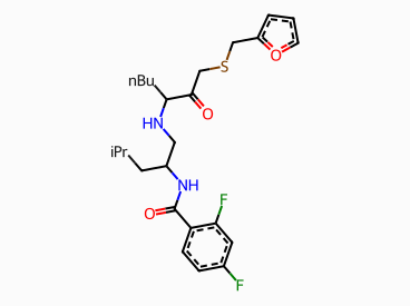 CCCCC(NCC(CC(C)C)NC(=O)c1ccc(F)cc1F)C(=O)CSCc1ccco1